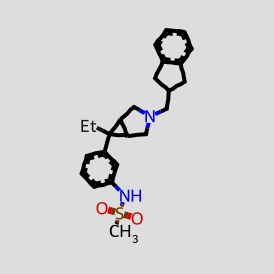 CCC1(c2cccc(NS(C)(=O)=O)c2)C2CN(CC3Cc4ccccc4C3)CC21